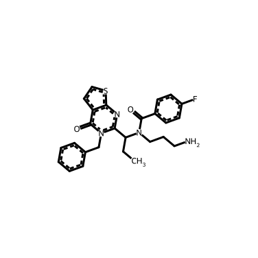 CCC(c1nc2sccc2c(=O)n1Cc1ccccc1)N(CCCN)C(=O)c1ccc(F)cc1